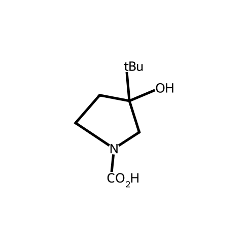 CC(C)(C)C1(O)CCN(C(=O)O)C1